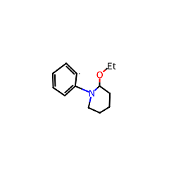 CCOC1CCCCN1c1[c]cccc1